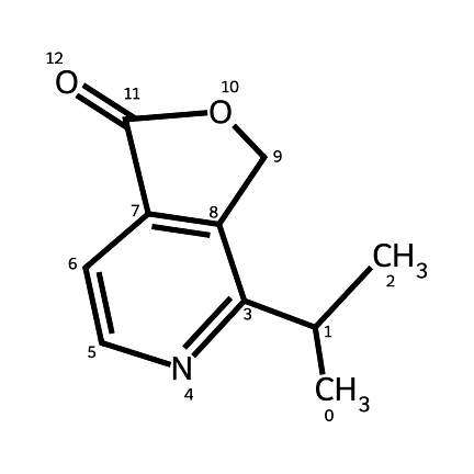 CC(C)c1nccc2c1COC2=O